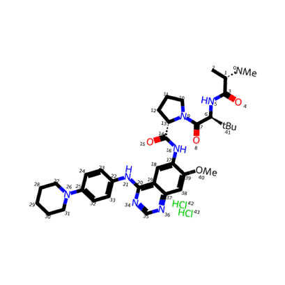 CN[C@@H](C)C(=O)N[C@H](C(=O)N1CCC[C@H]1C(=O)Nc1cc2c(Nc3ccc(N4CCCCC4)cc3)ncnc2cc1OC)C(C)(C)C.Cl.Cl